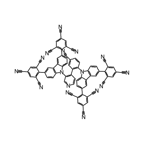 N#Cc1cc(C#N)c(-c2ccc3c(c2)c2cc(-c4c(C#N)cc(C#N)cc4C#N)ccc2n3-c2ccc(C#N)cc2-c2ccncc2-n2c3ccc(-c4c(C#N)cc(C#N)cc4C#N)cc3c3cc(-c4c(C#N)cc(C#N)cc4C#N)ccc32)c(C#N)c1